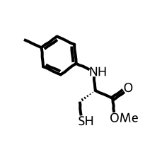 COC(=O)[C@H](CS)Nc1ccc(C)cc1